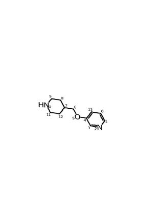 c1cncc(OCC2CCNCC2)c1